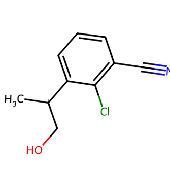 C[C](CO)c1cccc(C#N)c1Cl